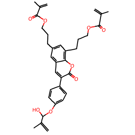 C=C(C)C(=O)OCCCc1cc(CCCOC(=O)C(=C)C)c2oc(=O)c(-c3ccc(OC(O)C(=C)C)cc3)cc2c1